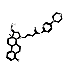 C[C@]12CCC3c4cccc(F)c4CCC3C1[C@H](CCCC(=O)Nc1ccc(N3CCOCC3)cn1)C/C2=N\O